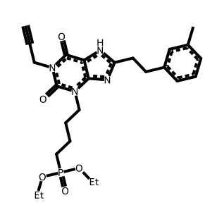 C#CCn1c(=O)c2[nH]c(CCc3cccc(C)c3)nc2n(CCCCP(=O)(OCC)OCC)c1=O